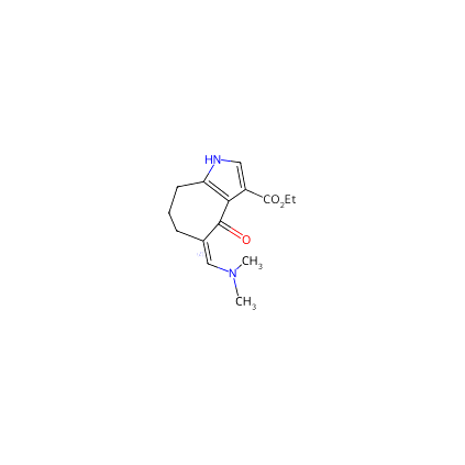 CCOC(=O)c1c[nH]c2c1C(=O)/C(=C\N(C)C)CCC2